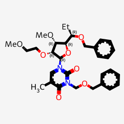 CC[C@@H](OCc1ccccc1)[C@H]1O[C@@H](n2cc(C)c(=O)n(COCc3ccccc3)c2=O)[C@H](OCCOC)[C@@H]1OC